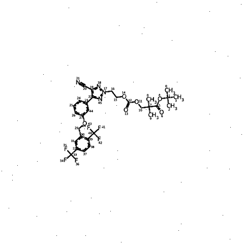 CC(C)(C)OC(=O)C(C)(C)COC(=O)OCCn1nc(C#N)c(-c2cccc(OCc3cc(C(F)(F)F)ccc3C(F)(F)F)c2)n1